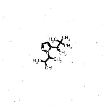 C=C(c1ccnn1C(C)C(C)O)C(C)(C)C